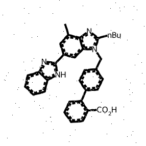 CCCCc1nc2c(C)cc(-c3nc4ccccc4[nH]3)cc2n1Cc1ccc(-c2ccccc2C(=O)O)cc1